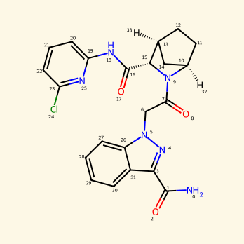 NC(=O)c1nn(CC(=O)N2[C@@H]3CC[C@@H](C3)[C@H]2C(=O)Nc2cccc(Cl)n2)c2ccccc12